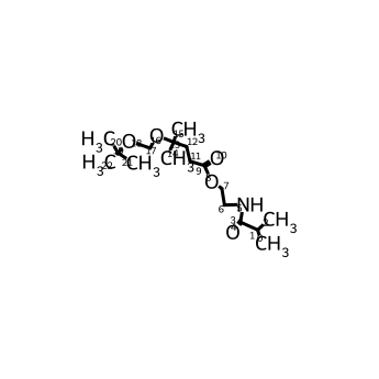 CC(C)C(=O)NCCOC(=O)CCC(C)(C)OCOC(C)(C)C